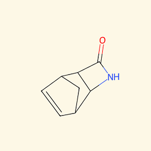 O=C1NC2C3C=CC(C3)C12